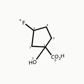 O=C(O)C1(O)CCC(F)C1